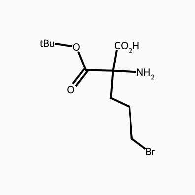 CC(C)(C)OC(=O)C(N)(CCCBr)C(=O)O